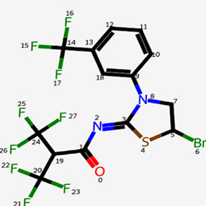 O=C(N=C1SC(Br)CN1c1cccc(C(F)(F)F)c1)C(C(F)(F)F)C(F)(F)F